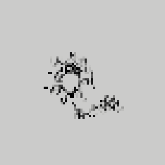 CC[C@H]1OC(=O)[C@H](C)C(=O)[C@H](C)[C@@H](O[C@@H]2OC(CN)CC(N)C2O)[C@](C)(OC)C[C@@H](C)CN[C@H](C)[C@H]2N(CCCCn3cc(-c4cccc(NC(=O)OC(C)(C)C)c4)nn3)C(=O)O[C@]12C